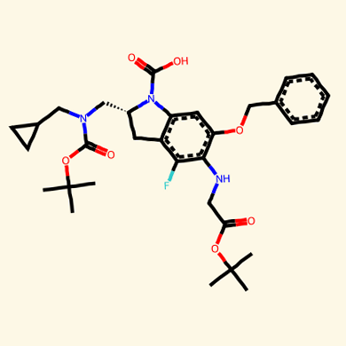 CC(C)(C)OC(=O)CNc1c(OCc2ccccc2)cc2c(c1F)C[C@H](CN(CC1CC1)C(=O)OC(C)(C)C)N2C(=O)O